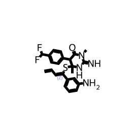 C=C/C=C(\SC1(C)NC(=N)N(C)C(=O)C1c1ccc(C(F)F)cc1)c1cccc(N)c1